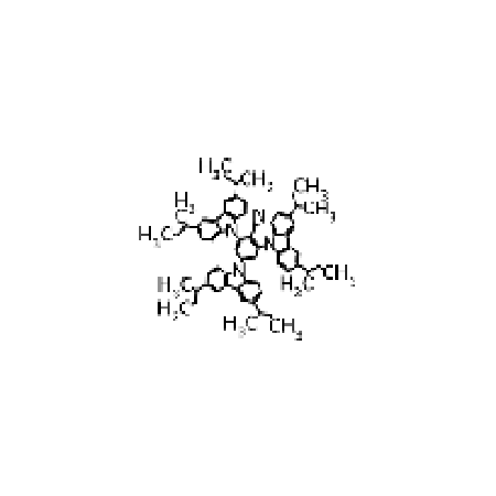 CCC(C)c1ccc2c(c1)c1cc(C(C)CC)ccc1n2-c1cc(-n2c3ccc(C(C)CC)cc3c3cc(C(C)CC)ccc32)c(C#N)c(-n2c3ccc(C(C)CC)cc3c3cc(C(C)CC)ccc32)c1